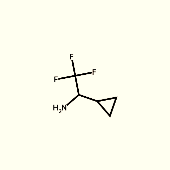 NC(C1CC1)C(F)(F)F